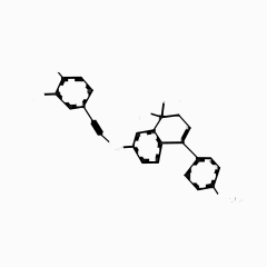 COc1ccc(C2=CCC(C)(C)c3cc([Se]C#Cc4ccc(C(=O)O)c(C)c4)ccc32)cc1